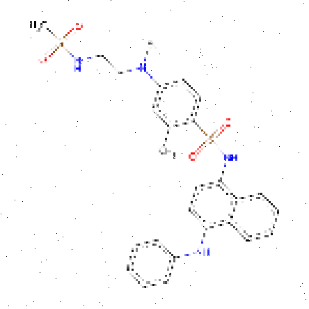 CCN(CCNS(C)(=O)=O)c1ccc(S(=O)(=O)Nc2ccc(Nc3ccccc3)c3ccccc23)c(C)c1